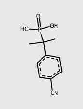 CC(C)(c1ccc(C#N)cc1)P(=O)(O)O